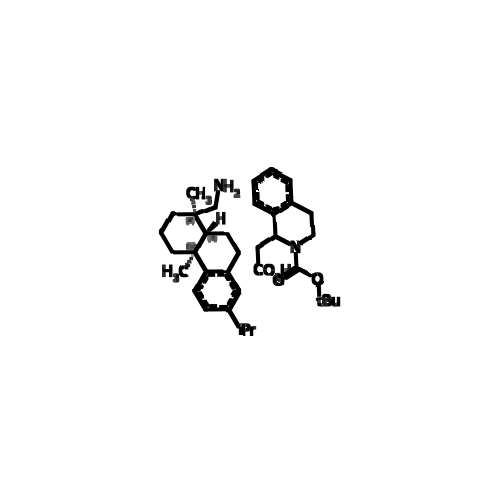 CC(C)(C)OC(=O)N1CCc2ccccc2C1CC(=O)O.CC(C)c1ccc2c(c1)CC[C@H]1[C@](C)(CN)CCC[C@]21C